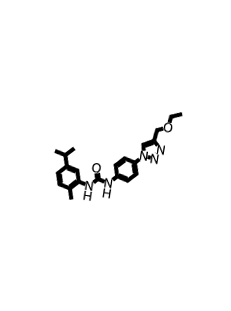 CCOCc1cn(-c2ccc(NC(=O)Nc3cc(C(C)C)ccc3C)cc2)nn1